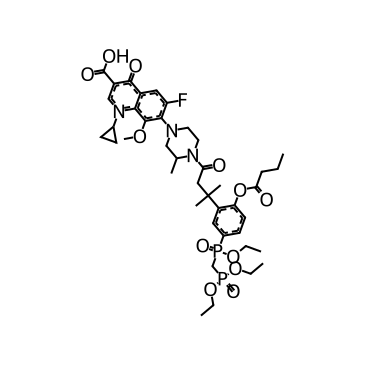 CCCC(=O)Oc1ccc(P(=O)(CP(=O)(OCC)OCC)OCC)cc1C(C)(C)CC(=O)N1CCN(c2c(F)cc3c(=O)c(C(=O)O)cn(C4CC4)c3c2OC)CC1C